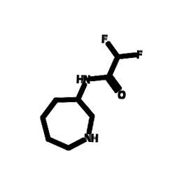 O=C(NC1CCCCNC1)C(F)F